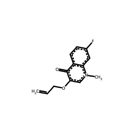 C=CCOc1cn(C)c2cc(F)ccc2c1=O